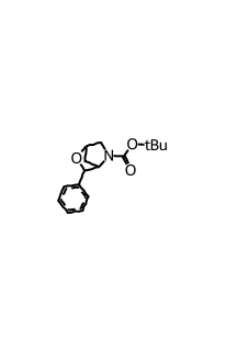 CC(C)(C)OC(=O)N1CC2CC1C(c1ccccc1)O2